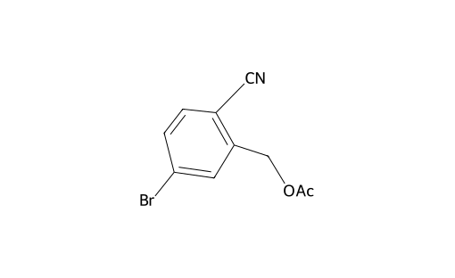 CC(=O)OCc1cc(Br)ccc1C#N